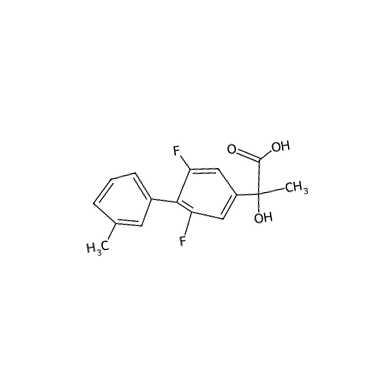 Cc1cccc(-c2c(F)cc(C(C)(O)C(=O)O)cc2F)c1